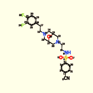 N#Cc1ccc(S(=O)(=O)NCCN2CC3CN(CCc4ccc(F)c(F)c4)CC(C2)O3)cc1